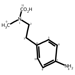 CN(CCc1ccc(N)cc1)C(=O)O